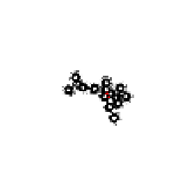 c1ccc(-c2ccc(-c3ccc(N(c4ccc(-c5ccc6c(c5)c5ccccc5n6-c5ccccc5)cc4)c4ccccc4-c4ccc5c(c4)C(c4ccccc4)(c4ccccc4)c4ccccc4-5)cc3)cc2)cc1